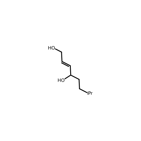 CC(C)CCC(O)C=CCO